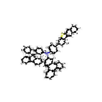 c1ccc2c(c1)-c1ccccc1C21c2ccccc2-c2ccc(N(c3ccc(-c4ccc5c(c4)sc4cc6ccccc6cc45)cc3)c3ccc4c5ccccc5c5ccccc5c4c3)cc21